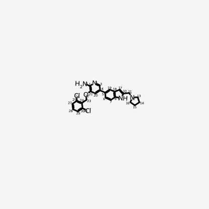 Nc1ncc(-c2ccc3[nH]c([CH]N4CCCC4)cc3c2)cc1OCc1c(Cl)cccc1Cl